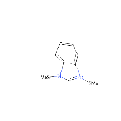 CSn1c[n+](SC)c2ccccc21